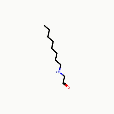 CCCCCCCCNC[C]=O